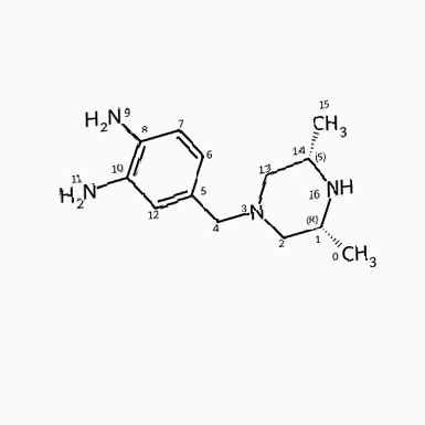 C[C@@H]1CN(Cc2ccc(N)c(N)c2)C[C@H](C)N1